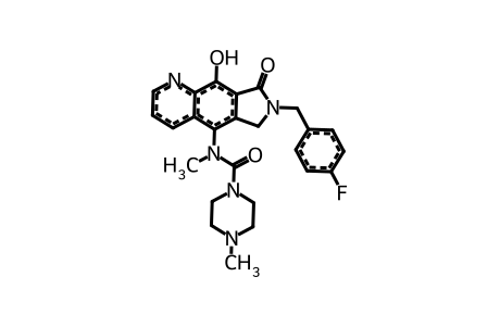 CN1CCN(C(=O)N(C)c2c3c(c(O)c4ncccc24)C(=O)N(Cc2ccc(F)cc2)C3)CC1